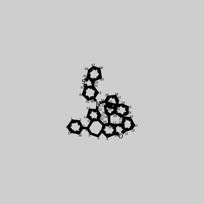 c1ccc(C2CCc3cc4oc5ccccc5c4c(-c4cccc5ccccc45)c3-c3cc(N(c4ccccc4)c4ccc5sc6ccccc6c5c4)ccc32)cc1